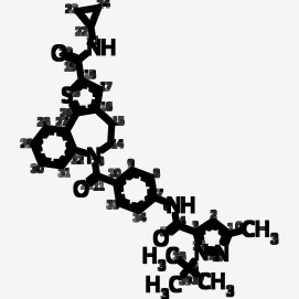 Cc1cc(C(=O)Nc2ccc(C(=O)N3CCc4cc(C(=O)NC5CC5)sc4-c4ccccc43)cc2)n(C(C)(C)C)n1